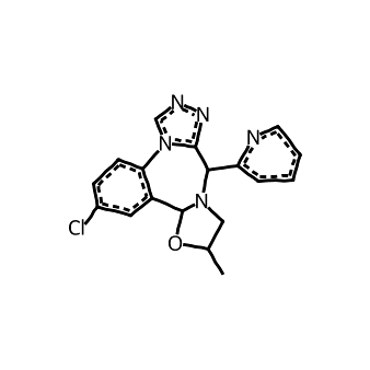 CC1CN2C(O1)c1cc(Cl)ccc1-n1cnnc1C2c1ccccn1